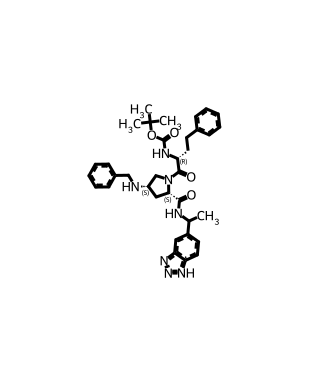 CC(NC(=O)[C@@H]1C[C@H](NCc2ccccc2)CN1C(=O)[C@@H](CCc1ccccc1)NC(=O)OC(C)(C)C)c1ccc2[nH]nnc2c1